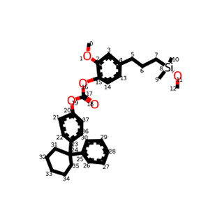 COc1cc(CCC[Si](C)(C)OC)ccc1OC(=O)Oc1ccc(C2(c3ccccc3)CCCCC2)cc1